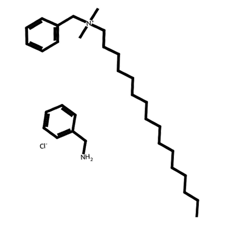 CCCCCCCCCCCCCCCC[N+](C)(C)Cc1ccccc1.NCc1ccccc1.[Cl-]